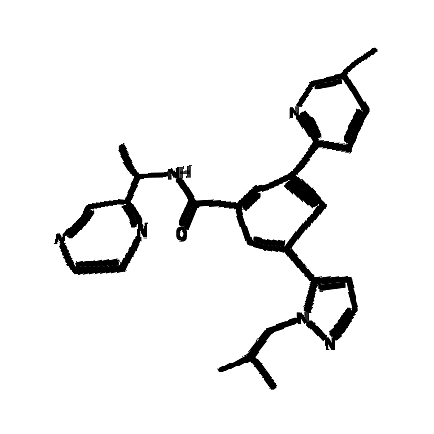 Cc1ccc(-c2cc(C(=O)NC(C)c3cnccn3)cc(-c3ccnn3CC(C)C)c2)nc1